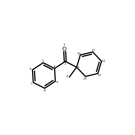 CC1(C(=O)c2ccccc2)C=CC=CC1